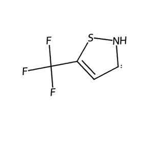 FC(F)(F)C1=C[C]NS1